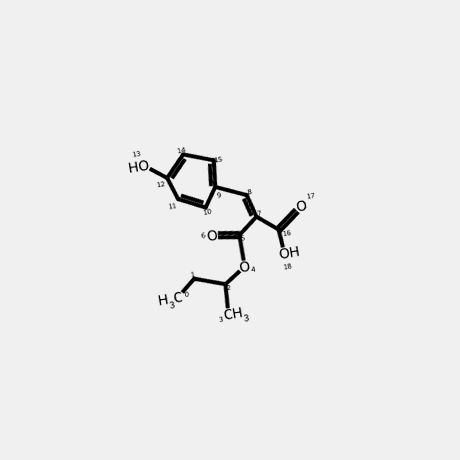 CCC(C)OC(=O)C(=Cc1ccc(O)cc1)C(=O)O